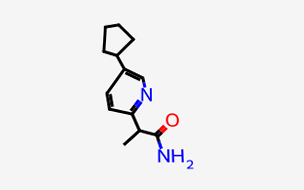 CC(C(N)=O)c1ccc(C2CCCC2)cn1